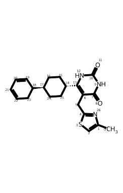 Cc1csc(Cc2c(=O)[nH]c(=O)[nH]c2[C@H]2CC[C@H](C3C=CC=CC3)CC2)n1